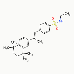 CCNS(=O)(=O)c1ccc(/C=C(\C)c2ccc3c(c2)C(C)(C)CCC3(C)C)cc1